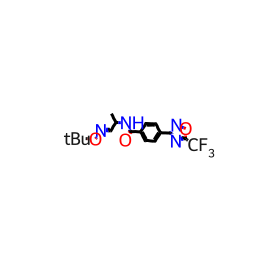 CC(C=NOC(C)(C)C)NC(=O)c1ccc(-c2noc(C(F)(F)F)n2)cc1